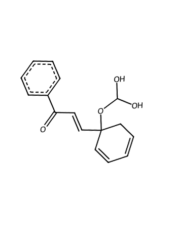 O=C(C=CC1(OC(O)O)C=CC=CC1)c1ccccc1